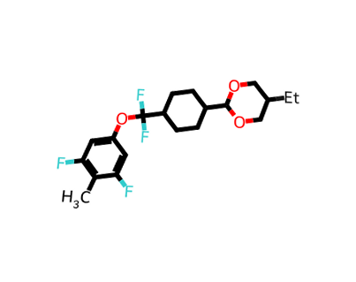 CCC1COC(C2CCC(C(F)(F)Oc3cc(F)c(C)c(F)c3)CC2)OC1